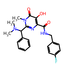 CN(C)C(c1ccccc1)c1nc(C(=O)NCc2ccc(F)cc2)c(O)c(=O)n1C